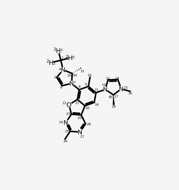 [2H]C([2H])([2H])N1C=CN(c2c(C)c(N3C=CN(C)[C@H]3C)cc3c2oc2nc(C)ncc23)[C@H]1C